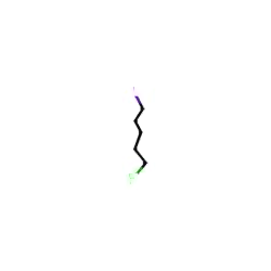 FCCCCCI